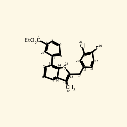 CCOC(=O)c1cccc(-c2cccc3c(C)c(Cc4ccc(F)c(Cl)c4)sc23)c1